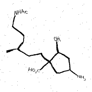 CC(=O)NCC[C@H](C)CCC1(C(=O)O)CC(N)CC1O